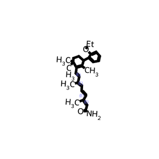 CCOc1ccccc1C1CCC(C)(C)C(/C=C/C(C)=C/C=C/C(C)=C/C(N)=O)=C1C